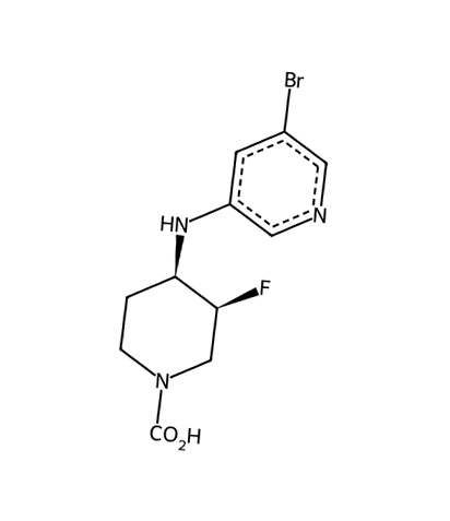 O=C(O)N1CC[C@@H](Nc2cncc(Br)c2)[C@@H](F)C1